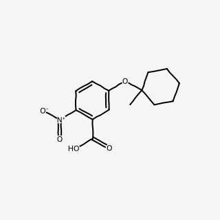 CC1(Oc2ccc([N+](=O)[O-])c(C(=O)O)c2)CCCCC1